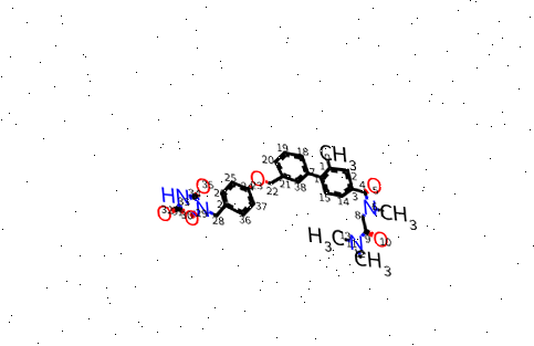 Cc1cc(C(=O)N(C)CC(=O)N(C)C)ccc1-c1cccc(COc2ccc(Cn3oc(=O)[nH]c3=O)cc2)c1